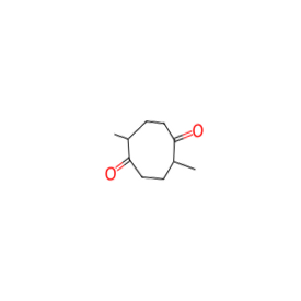 CC1CCC(=O)C(C)CCC1=O